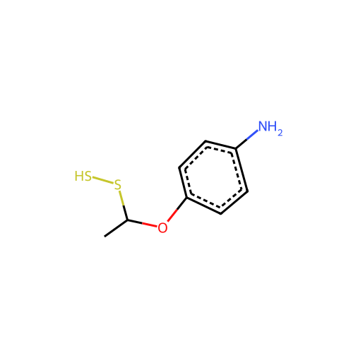 CC(Oc1ccc(N)cc1)SS